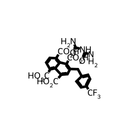 NC(=O)NC(N)=O.O=C(O)c1ccc(C(=O)O)c2c(C(=O)O)c(Cc3ccc(C(F)(F)F)cc3)cc(C(=O)O)c12